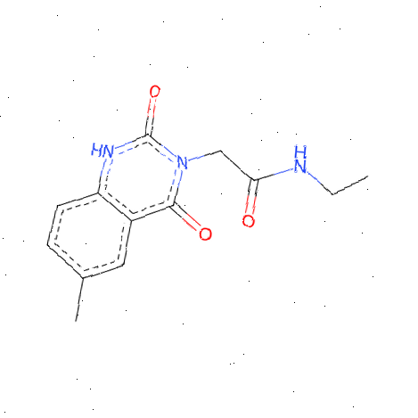 CCNC(=O)Cn1c(=O)[nH]c2ccc(C)cc2c1=O